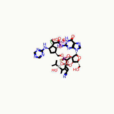 CC(C)C(=O)Nc1nc2c(ncn2[C@@H]2O[C@H](CO)[C@@H](O[Si](O[Si](O)(C(C)C)C(C)C)(C(C)C)C(C)C)[C@H]2OP(=S)(OCCC#N)OC[C@H]2C[C@@H](Nc3ncncn3)[C@H](F)[C@@H]2O[PH](=O)O)c(=O)[nH]1